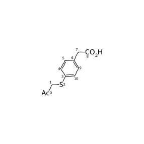 CC(=O)CSc1ccc(CC(=O)O)cc1